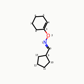 [C](=N\OC1=CCCCC1)/C1CCCC1